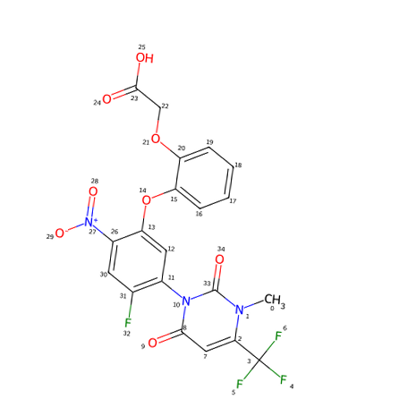 Cn1c(C(F)(F)F)cc(=O)n(-c2cc(Oc3ccccc3OCC(=O)O)c([N+](=O)[O-])cc2F)c1=O